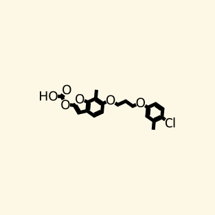 Cc1cc(OCCCOc2ccc3cc(OC(=O)O)oc3c2C)ccc1Cl